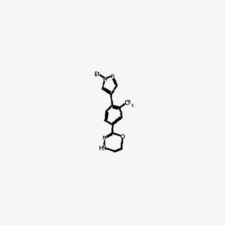 CCn1cc(-c2ccc(C3=NNCCO3)cc2C(F)(F)F)cn1